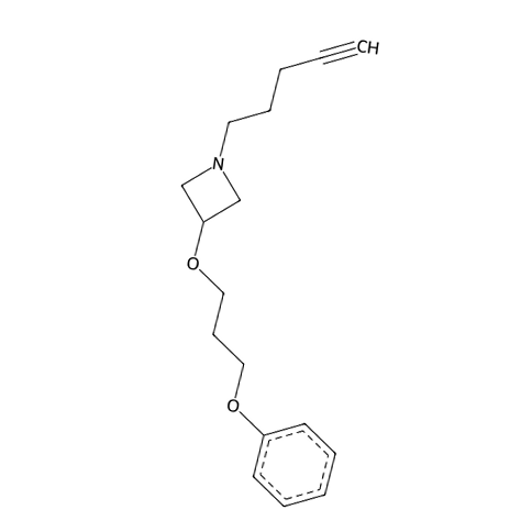 C#CCCCN1CC(OCCCOc2ccccc2)C1